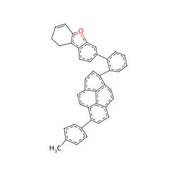 Cc1ccc(-c2ccc3ccc4c(-c5ccccc5-c5ccc6c7c(oc6c5)C=CCC7)ccc5ccc2c3c54)cc1